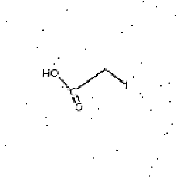 O=[13C](O)CI